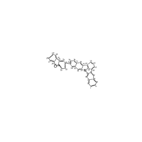 c1ccc2cc3c(cc2c1)c1cccc2c4cc5ccc(-c6ccc7oc8ccccc8c7c6)cc5cc4n3c12